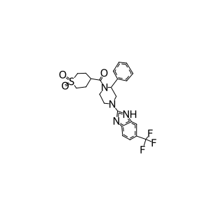 O=C(C1CCS(=O)(=O)CC1)N1CCN(c2nc3ccc(C(F)(F)F)cc3[nH]2)CC1c1ccccc1